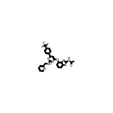 CC(=O)Nc1nc2c(Oc3cc(-c4ccc(C(F)(F)F)cc4)nc(NCc4ccccn4)n3)cccc2s1